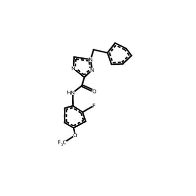 O=C(Nc1ccc(OC(F)(F)F)cc1F)c1ncn(Cc2ccccc2)n1